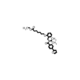 CCOC(=O)CCCCCCOc1ccccc1CN(C(=O)c1ccc(-c2ccco2)cc1)C(C)C